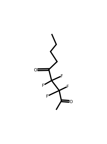 CCCCC(=O)C(F)(F)C(F)(F)C(C)=O